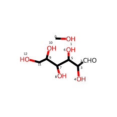 CO.O=CC(O)C(O)C(O)C(O)CO